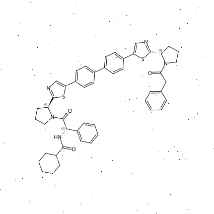 O=C(N[C@H](C(=O)N1CCC[C@H]1c1ncc(-c2ccc(-c3ccc(-c4cnc([C@@H]5CCCN5C(=O)Cc5ccccc5)s4)cc3)cc2)s1)c1ccccc1)C1CCCCC1